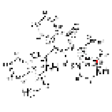 CC[C@H](NC(=O)c1c(CN2CCNCC2)n(-c2ccccc2)c(=O)c2ccccc12)c1ccccc1